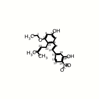 CCOc1cc(O)cc(C=Cc2ccc([N+](=O)[O-])c(O)c2)c1CC=C(C)C